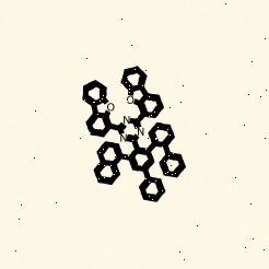 c1ccc(-c2cc(-c3ccccc3-c3ccccc3)c(-c3nc(-c4cccc5c4oc4ccccc45)nc(-c4cccc5c4oc4ccccc45)n3)c(-c3cccc4ccccc34)c2)cc1